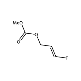 COC(=O)OC/C=C/F